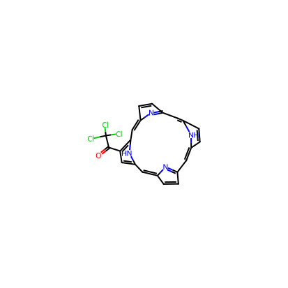 O=C(c1cc2cc3nc(cc4ccc(cc5nc(cc1[nH]2)C=C5)[nH]4)C=C3)C(Cl)(Cl)Cl